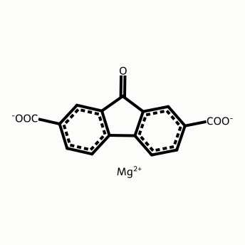 O=C([O-])c1ccc2c(c1)C(=O)c1cc(C(=O)[O-])ccc1-2.[Mg+2]